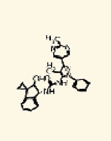 Cc1ncc(-c2nn(-c3ccccc3)c(NC(=O)N[C@@H]3c4ccccc4C4(CC4)[C@H]3O)c2C)cn1